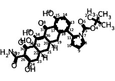 CC(C)(C)OC(=O)n1cccc1-c1ccc(O)c2c1C[C@H]1C[C@H]3CC(O)=C(C(N)=O)C(=O)[C@@]3(O)C(O)=C1C2=O